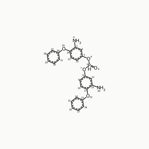 Nc1cc(O[PH](=O)Oc2ccc(Oc3ccccc3)c(N)c2)ccc1Oc1ccccc1